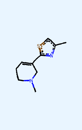 Cc1csc(C2=CCCN(C)C2)n1